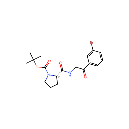 CC(C)(C)OC(=O)N1CCC[C@H]1C(=O)NCC(=O)c1cccc(Br)c1